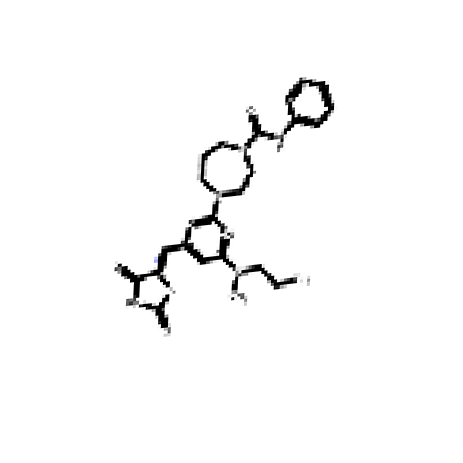 CN(CCO)c1cc(/C=C2\SC(=O)NC2=O)nc(N2CCCN(C(=O)Nc3ccccc3)CC2)n1